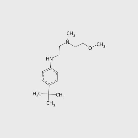 COCCN(C)CCNc1ccc(C(C)(C)C)cc1